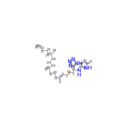 C/C(=C\CSCC(Nc1ccc(C)[nH]1)c1nnn[nH]1)CCCC(C)CCCC(C)CCCC(C)C